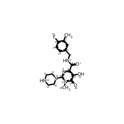 Cc1cc(CNC(=O)c2nc(N3CCNCC3)n(C)c(=O)c2O)ccc1F